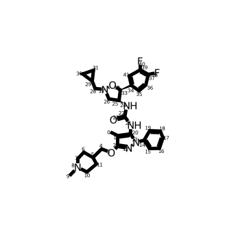 Cc1c(OCC2CCN(C)CC2)nn(-c2ccccc2)c1NC(=O)N[C@@H]1CN(CC2CC2)O[C@H]1c1ccc(F)c(F)c1